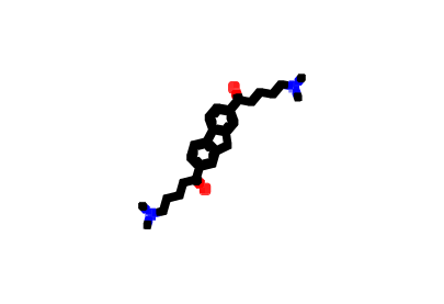 CN(C)CCCCC(=O)c1ccc2c(c1)Cc1cc(C(=O)CCCCN(C)C)ccc1-2